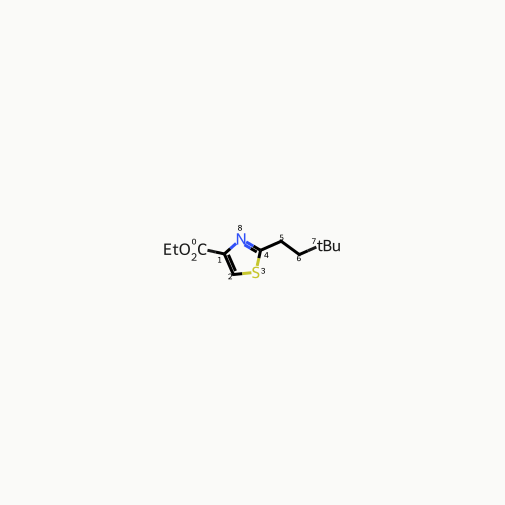 CCOC(=O)c1csc(CCC(C)(C)C)n1